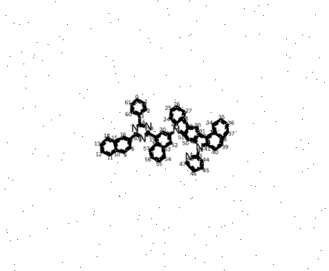 c1ccc(-c2nc(-c3ccc4ccccc4c3)nc(-c3cc(-n4c5ccccc5c5cc6c7c8ccccc8ccc7n(-c7ccccn7)c6cc54)cc4ccccc34)n2)cc1